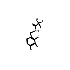 Cc1c(Cl)ccc(CNC(=O)C(F)(F)F)c1Cl